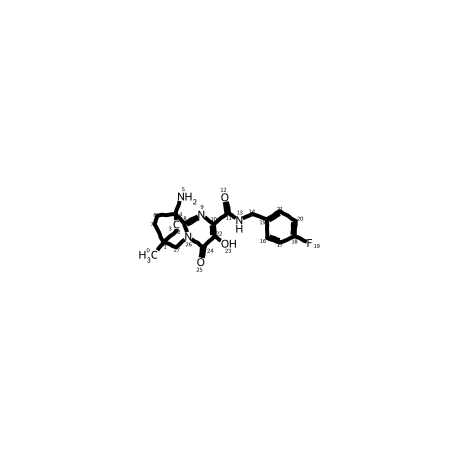 CC12CCC(N)(CC1)c1nc(C(=O)NCc3ccc(F)cc3)c(O)c(=O)n1C2